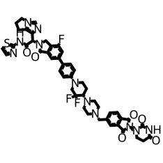 O=C1CCN(N2C(=O)c3ccc(CN4CCN(C5CCN(c6ccc(-c7cc(F)c8c(c7)C(=O)N(C(C(=O)Nc7nccs7)c7ncn9c7CCC9)C8)cc6)CC5(F)F)CC4)cc3C2=O)C(=O)N1